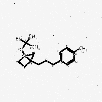 CCC(C)(C)O[Si]12CCC1(CCCc1ccc(C)cc1)C2